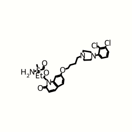 CCS(C)(N)C(=O)OCn1c(=O)ccc2ccc(OCCCCN3CCN(c4cccc(Cl)c4Cl)CC3)cc21